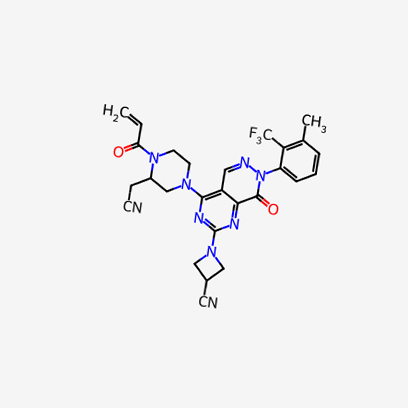 C=CC(=O)N1CCN(c2nc(N3CC(C#N)C3)nc3c(=O)n(-c4cccc(C)c4C(F)(F)F)ncc23)CC1CC#N